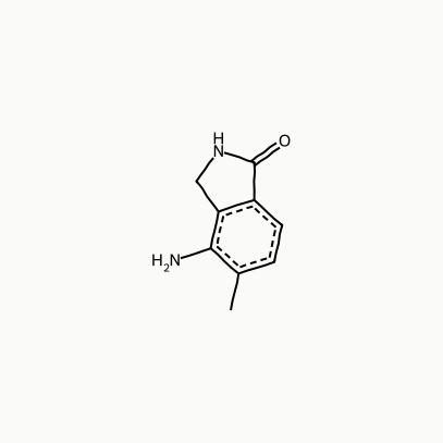 Cc1ccc2c(c1N)CNC2=O